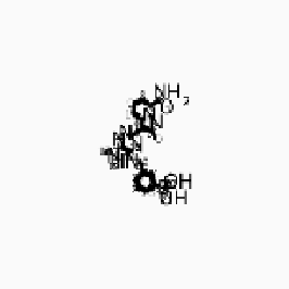 Cc1nn2c(C(N)=O)cccc2c1-c1nnc(N(C)C)c(NCc2cccc(B(O)O)c2)n1